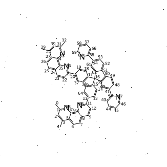 Cc1cc(C)c2ccc3ccc(-c4ccc(C5(c6ccc(-c7ccc8ccc9c(C)cc(C)nc9c8n7)cc6)c6cc(-c7ccccn7)ccc6-c6ccc(-c7ccccn7)cc65)cc4)nc3c2n1